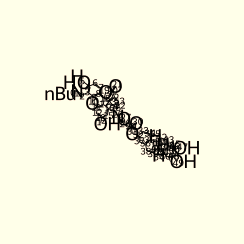 CCCCNCc1c(O)ccc2c1Oc1cc(O)ccc1C21OC(=O)C2=C1CC(=NOCC(=O)Oc1ccc3c(c1)CC[C@@H]1[C@@H]3CC[C@]3(C)[C@@H](O)[C@H](O)C[C@@H]13)C=C2